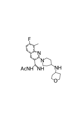 CC(=O)NC(=N)c1cc2ccc(F)c(C)c2nc1N1CCC(NC2CCOCC2)CC1